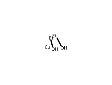 CCO.CCO.[Cu]